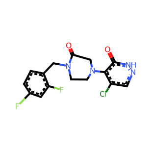 O=C1CN(c2c(Cl)cn[nH]c2=O)CCN1Cc1ccc(F)cc1F